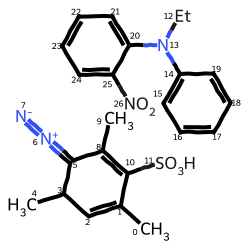 CC1=CC(C)C(=[N+]=[N-])C(C)=C1S(=O)(=O)O.CCN(c1ccccc1)c1ccccc1[N+](=O)[O-]